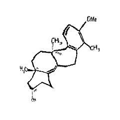 COc1ccc2c(c1C)CCC1=C3C[C@H](O)C[C@]3(C)CC[C@]12C